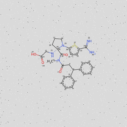 CN(C(=O)CC(c1ccccc1)c1ccccc1)C(=O)[C@@]1(NCC(=O)O)CCCN1c1ccc(C(=N)N)s1